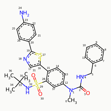 CN(C(=O)NCc1ccccc1)c1ccc(-c2cnc(-c3ccc(N)cc3)s2)c(S(=O)(=O)NC(C)(C)C)c1